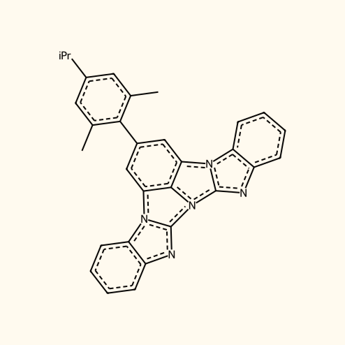 Cc1cc(C(C)C)cc(C)c1-c1cc2c3c(c1)n1c4ccccc4nc1n3c1nc3ccccc3n21